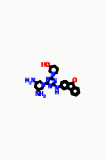 N[C@@H]1C[C@H](N)CN(c2nc(Nc3ccc4c(c3)-c3ccccc3C4=O)nc(N3CCC[C@@H](O)C3)n2)C1